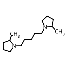 CC1CCCN1CCCCCN1CCCC1C